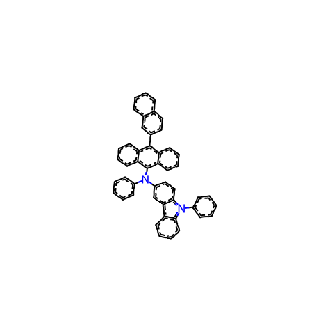 c1ccc(N(c2ccc3c(c2)c2ccccc2n3-c2ccccc2)c2c3ccccc3c(-c3ccc4ccccc4c3)c3ccccc23)cc1